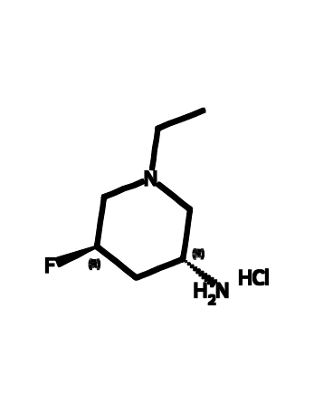 CCN1C[C@H](N)C[C@@H](F)C1.Cl